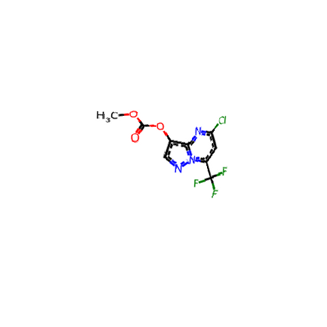 COC(=O)Oc1cnn2c(C(F)(F)F)cc(Cl)nc12